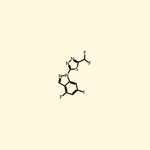 Fc1cc(I)cc2c1cnn2-c1nnc(C(F)F)s1